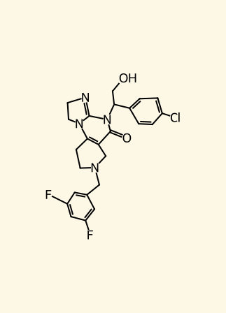 O=C1C2=C(CCN(Cc3cc(F)cc(F)c3)C2)N2CCN=C2N1C(CO)c1ccc(Cl)cc1